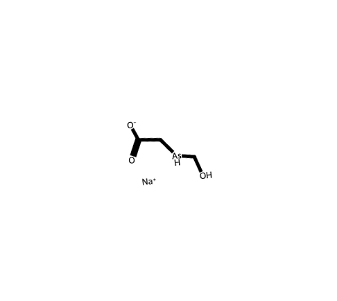 O=C([O-])C[AsH]CO.[Na+]